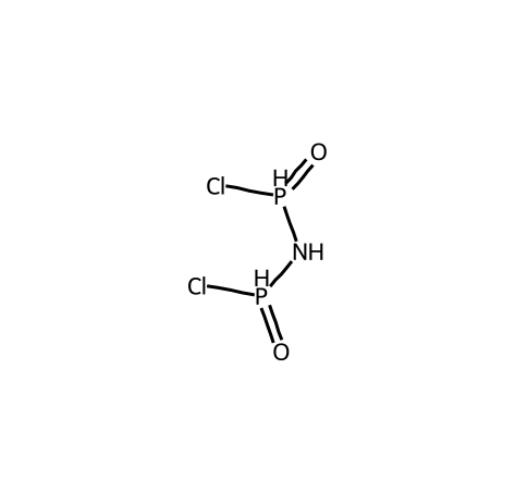 O=[PH](Cl)N[PH](=O)Cl